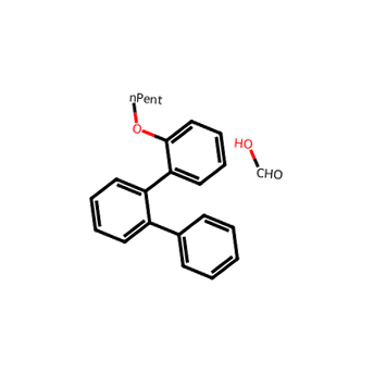 CCCCCOc1ccccc1-c1ccccc1-c1ccccc1.O=CO